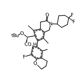 Cc1c(-c2c(C)c3c(c(C)c2[C@H](OC(C)(C)C)C(=O)O)CC(=O)N(C2CCC(F)(F)CC2)C3)cc(F)c2c1CCCO2